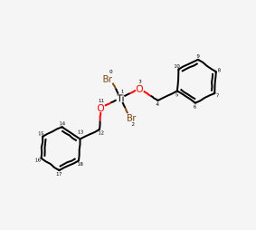 [Br][Ti]([Br])([O]Cc1ccccc1)[O]Cc1ccccc1